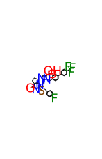 O=C(O)c1cnc(Cn2c(SCc3ccc(F)cc3)nc(=O)c3c2CCC3)n1Cc1ccc(-c2ccc(C(F)(F)F)cc2)cc1